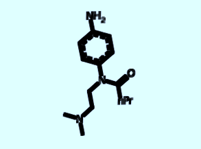 CCCC(=O)N(CCN(C)C)c1ccc(N)cc1